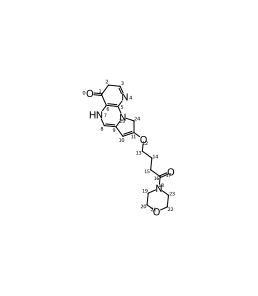 O=C1CC=NC2=C1NC=C1C=C(OCCCC(=O)N3CCOCC3)CN12